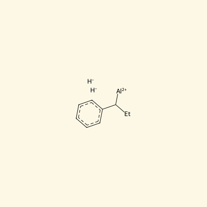 CC[CH]([Al+2])c1ccccc1.[H-].[H-]